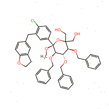 CO[C@@]1(c2ccc(Cl)c(Cc3ccc4c(c3)CCO4)c2)OC(CO)(CO)[C@@H](OCc2ccccc2)[C@H](OCc2ccccc2)[C@H]1OCc1ccccc1